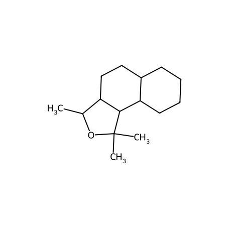 CC1OC(C)(C)C2C3CCCCC3CCC12